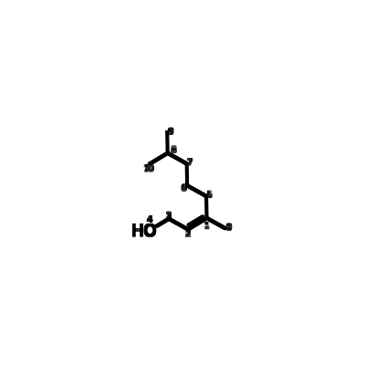 CC(=CCO)CCCC(C)C